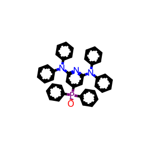 O=P(c1ccccc1)(c1ccccc1)c1cc(N(c2ccccc2)c2ccccc2)nc(N(c2ccccc2)c2ccccc2)c1